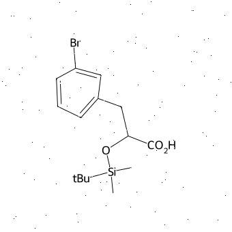 CC(C)(C)[Si](C)(C)OC(Cc1cccc(Br)c1)C(=O)O